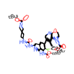 Cc1c(-c2cc3cc(NC(=O)NC4CC5(C4)CN(C(=O)OC(C)(C)C)C5)ncc3c(NC(=O)OC(C)(C)C)c2F)cnc2c1N(C(=O)OC(C)(C)C)CCO2